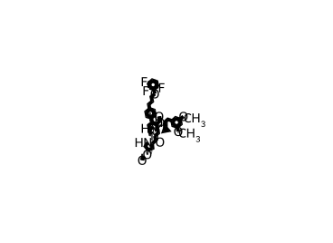 COc1cc(CN(C(=O)C2=C(c3ccc(CCCOc4c(F)ccc(F)c4F)cc3)C[C@H]3CN(C(=O)C4C[C@@H](OC=O)CN4)C[C@@H]2N3)C2CC2)cc(OC)c1